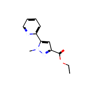 CCOC(=O)c1cc(-c2ccccn2)n(C)n1